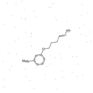 CCCC=CCCCOc1cccc(NC)c1